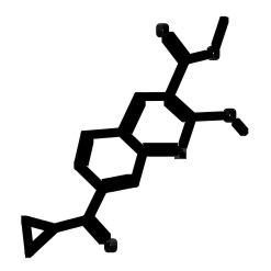 COC(=O)c1cc2ccc(C(=O)C3CC3)cc2nc1OC